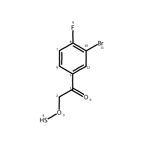 O=C(COS)c1ccc(F)c(Br)c1